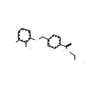 O=Cc1c(O)cccc1OCc1ccc(C(=O)NCC(=O)O)cc1